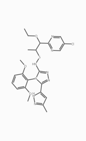 CCOC(c1ncc(Cl)cn1)C(C)SNc1nnc(-c2cc(C)n[nH]2)n1-c1c(OC)cccc1OC